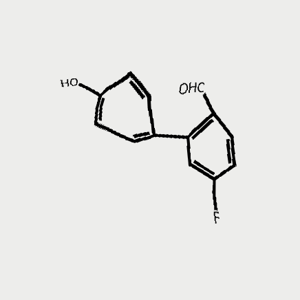 O=Cc1ccc(F)cc1-c1ccc(O)cc1